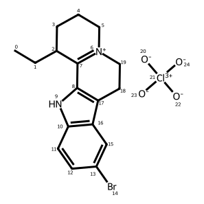 CCC1CCC[N+]2=C1c1[nH]c3ccc(Br)cc3c1CC2.[O-][Cl+3]([O-])([O-])[O-]